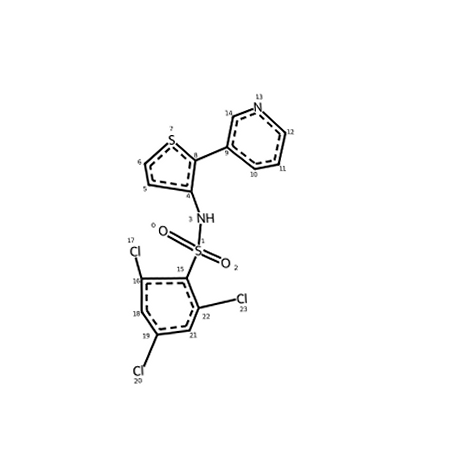 O=S(=O)(Nc1ccsc1-c1cccnc1)c1c(Cl)cc(Cl)cc1Cl